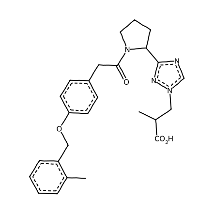 Cc1ccccc1COc1ccc(CC(=O)N2CCCC2c2ncn(CC(C)C(=O)O)n2)cc1